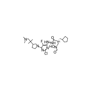 CN(C)CC(C)(C)C1CCN(c2nc(Cl)nc(NNC(=O)[C@H](CC3CCCC3)CN(O)C=O)c2F)C1